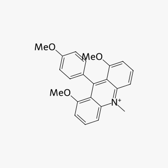 COc1ccc(-c2c3c(OC)cccc3[n+](C)c3cccc(OC)c23)cc1